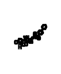 Cc1nc2c(CNC(=O)C(=O)c3ccc(C4CCCCC4)cc3)scc2c(=O)n1C1CCC(=O)NC1=O